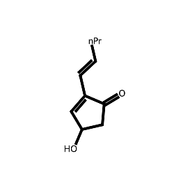 CCCC=CC1=CC(O)CC1=O